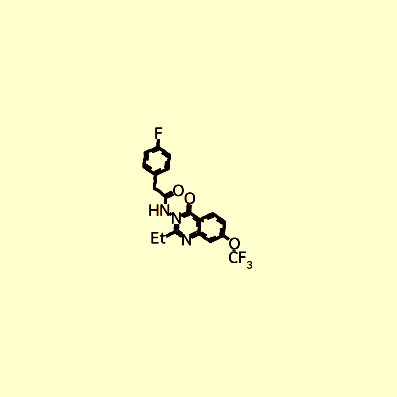 CCc1nc2cc(OC(F)(F)F)ccc2c(=O)n1NC(=O)Cc1ccc(F)cc1